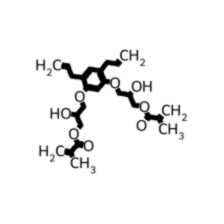 C=CCc1cc(CC=C)c(OCC(O)COC(=O)C(=C)C)cc1OCC(O)COC(=O)C(=C)C